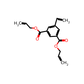 C=CCOC(=O)c1cc(C=C)cc(C(=O)OCC=C)c1